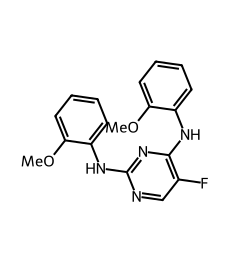 COc1ccccc1Nc1ncc(F)c(Nc2ccccc2OC)n1